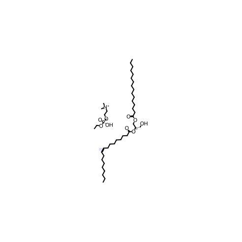 CCCCCCCC/C=C\CCCCCCCC(=O)O[C@@H](CO)COC(=O)CCCCCCCCCCCCCCC.CCOP(=O)(O)OCC[N+](C)(C)C